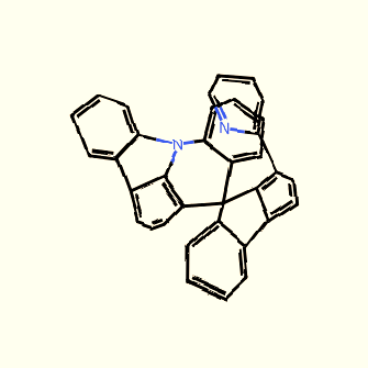 c1ccc(-c2cccc3c2C2(c4ccccc4-3)c3ccccc3-n3c4ccccc4c4cccc2c43)nc1